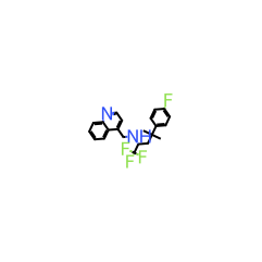 CC(C)(CC(NCc1ccnc2ccccc12)C(F)(F)F)c1ccc(F)cc1